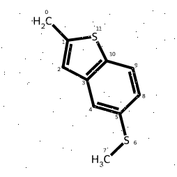 [CH2]c1cc2cc(SC)ccc2s1